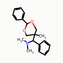 CN(C)C(c1ccccc1)C1(C)COC(c2ccccc2)OC1